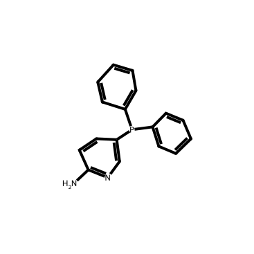 Nc1ccc(P(c2ccccc2)c2ccccc2)cn1